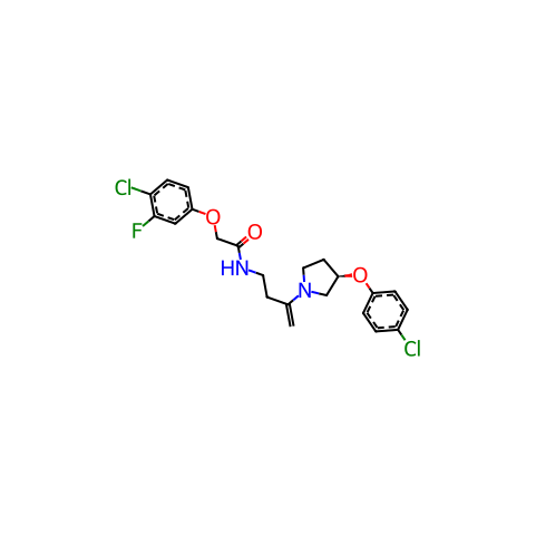 C=C(CCNC(=O)COc1ccc(Cl)c(F)c1)N1CC[C@@H](Oc2ccc(Cl)cc2)C1